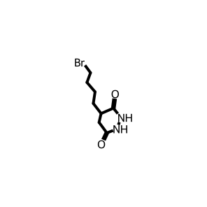 O=C1CC(CCCCBr)C(=O)NN1